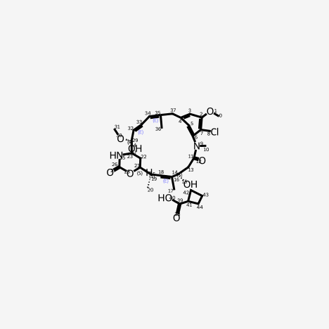 COc1cc2cc(c1Cl)N(C)C(=O)C[C@H](O)/C(C)=C/[C@H](C)[C@@H]1C[C@@](O)(NC(=O)O1)[C@H](OC)/C=C/C=C(\C)C2.O=C(O)C1CCC1